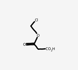 O=C(O)CC(=O)OCCl